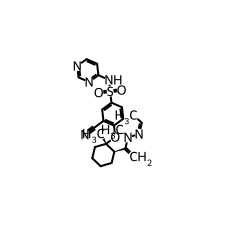 C=C([C@H]1CCCC[C@]1(C)Oc1ccc(S(=O)(=O)Nc2ccncn2)cc1C#N)N(C)/N=C\C